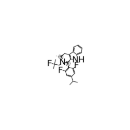 CC(C)c1cc(F)c([C@@H]2c3[nH]c4ccccc4c3C[C@@H](C)N2CC(C)(C)F)c(F)c1